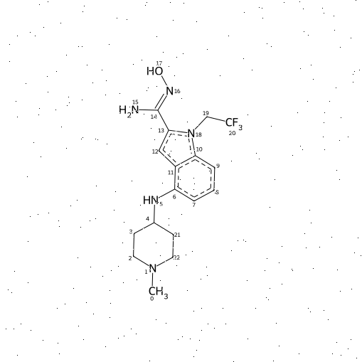 CN1CCC(Nc2cccc3c2cc(/C(N)=N/O)n3CC(F)(F)F)CC1